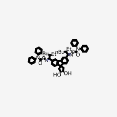 CCCCC(CC)/C(=N\OC(=O)N(c1ccccc1)c1ccccc1)c1ccc2c(c1)-c1cc(/C(=N/OC(=O)N(c3ccccc3)c3ccccc3)C(CC)CCCC)ccc1C2(CCO)CCO